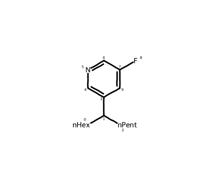 CCCCCCC(CCCCC)c1cncc(F)c1